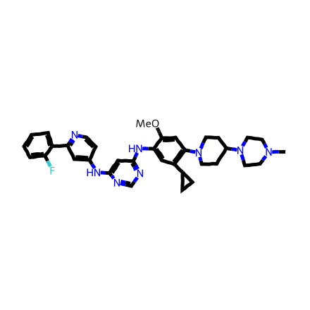 COc1cc(N2CCC(N3CCN(C)CC3)CC2)c(C2CC2)cc1Nc1cc(Nc2ccnc(-c3ccccc3F)c2)ncn1